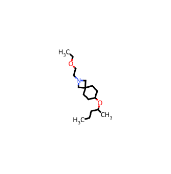 CCCC(C)OC1CCC2(CC1)CN(CCOCC)C2